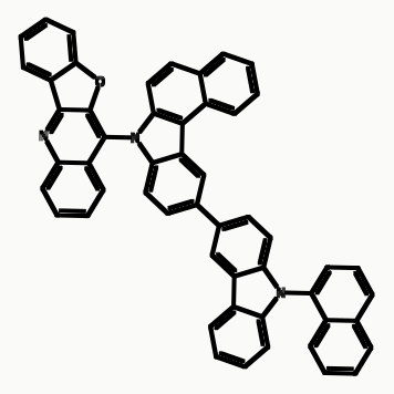 c1ccc2c(-n3c4ccccc4c4cc(-c5ccc6c(c5)c5c7ccccc7ccc5n6-c5c6ccccc6nc6c5oc5ccccc56)ccc43)cccc2c1